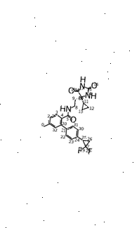 Cc1ccc(C(=O)NCC[C@@]2(C3CC3)NC(=O)NC2=O)c(-c2ccc(C3CC3(F)F)cc2)c1